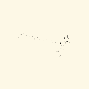 CC(C)(C)OC(=O)CCCCCCCCCCCCCCCCC(=O)N(CCC(=O)OC(C)(C)C)Cc1ccc(C(=O)O)cc1